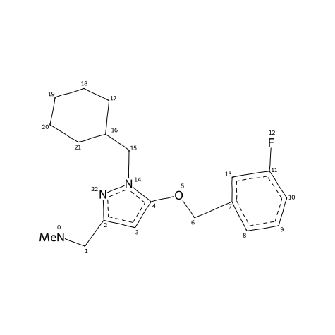 CNCc1cc(OCc2cccc(F)c2)n(CC2CCCCC2)n1